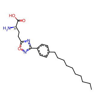 CCCCCCCCCCc1ccc(-c2noc(CC[C@@H](N)C(=O)O)n2)cc1